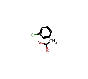 CC(Br)Br.Clc1ccccc1